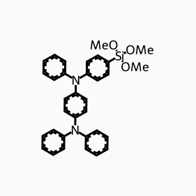 CO[Si](OC)(OC)c1ccc(N(c2ccccc2)c2ccc(N(c3ccccc3)c3ccccc3)cc2)cc1